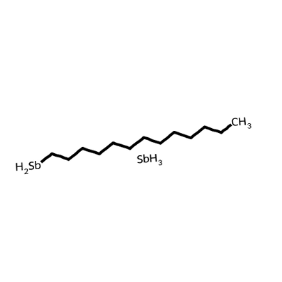 CCCCCCCCCCCC[CH2][SbH2].[SbH3]